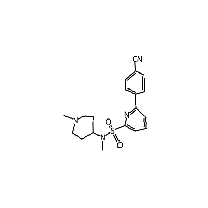 CN1CCC(N(C)S(=O)(=O)c2cccc(-c3ccc(C#N)cc3)n2)CC1